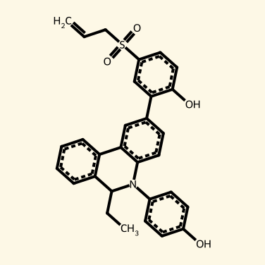 C=CCS(=O)(=O)c1ccc(O)c(-c2ccc3c(c2)-c2ccccc2C(CC)N3c2ccc(O)cc2)c1